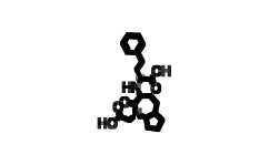 O=C(O)CN1C(=O)C(N[C@@H](CCc2ccccc2)C(=O)O)CCC2CCCC21